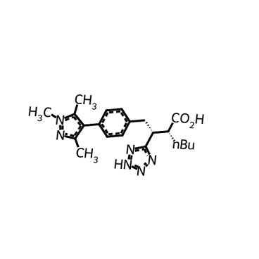 CCCC[C@@H](C(=O)O)[C@@H](Cc1ccc(-c2c(C)nn(C)c2C)cc1)c1nn[nH]n1